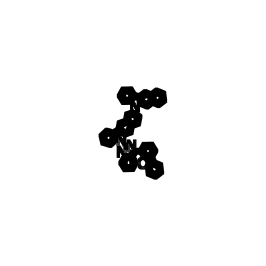 c1ccc2cc3c(cc2c1)c1ccccc1n3-c1ccc2cc3c(cc2c1)c1ccccc1n3-c1nc(-c2cccc3c2oc2ccccc23)c2ccccc2n1